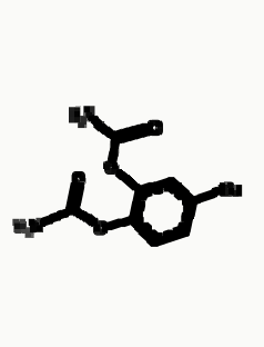 CC(C)(C)c1ccc(OC(N)=O)c(OC(N)=O)c1